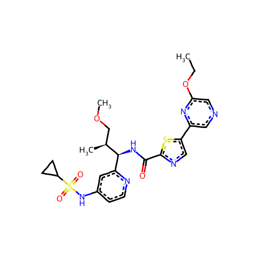 CCOc1cncc(-c2cnc(C(=O)N[C@@H](c3cc(NS(=O)(=O)C4CC4)ccn3)[C@@H](C)COC)s2)n1